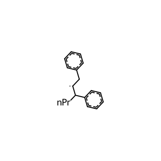 CCCC([CH]Cc1ccccc1)c1ccccc1